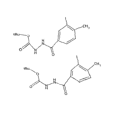 Cc1ccc(C(=O)NNC(=O)OC(C)(C)C)cc1I.Cc1ccc(C(=O)NNC(=O)OC(C)(C)C)cc1I